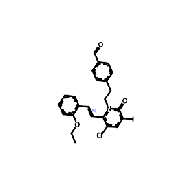 CCOc1ccccc1/C=C/c1c(Cl)cc(I)c(=O)n1CCc1ccc(C=O)cc1